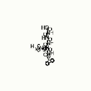 CC(=O)NCSC[C@H](NC(=O)OCC1c2ccccc2-c2ccccc21)C(=O)NCC(=O)NCC(=O)NCC(=O)NCC(=O)O